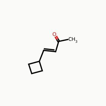 CC(=O)/C=C/C1CCC1